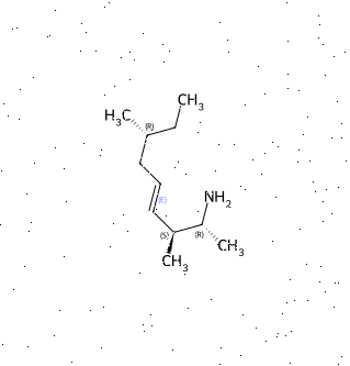 CC[C@@H](C)C/C=C/[C@H](C)[C@@H](C)N